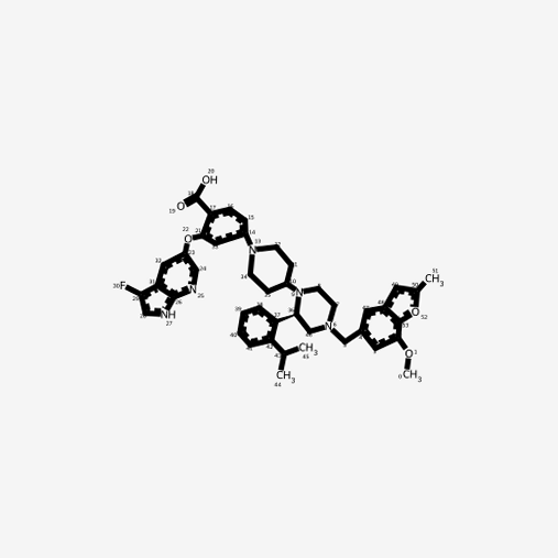 COc1cc(CN2CCN(C3CCN(c4ccc(C(=O)O)c(Oc5cnc6[nH]cc(F)c6c5)c4)CC3)[C@H](c3ccccc3C(C)C)C2)cc2cc(C)oc12